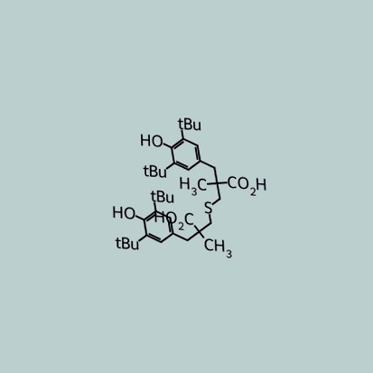 CC(CSCC(C)(Cc1cc(C(C)(C)C)c(O)c(C(C)(C)C)c1)C(=O)O)(Cc1cc(C(C)(C)C)c(O)c(C(C)(C)C)c1)C(=O)O